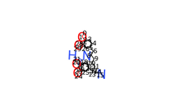 COc1ccc(CC(N)CCCC(C)(C#N)c2ccc(OC)c(OC)c2)cc1OC